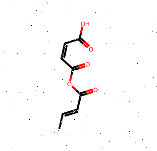 C/C=C/C(=O)OC(=O)/C=C\C(=O)O